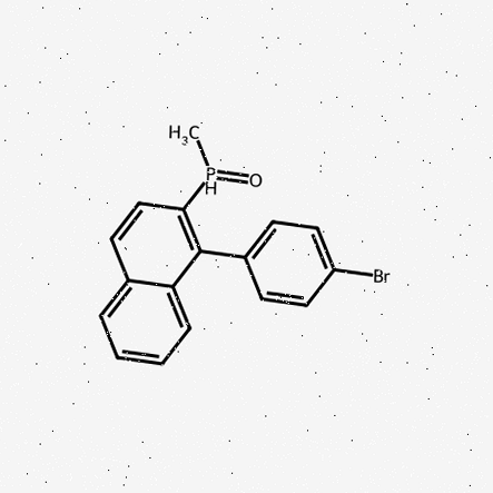 C[PH](=O)c1ccc2ccccc2c1-c1ccc(Br)cc1